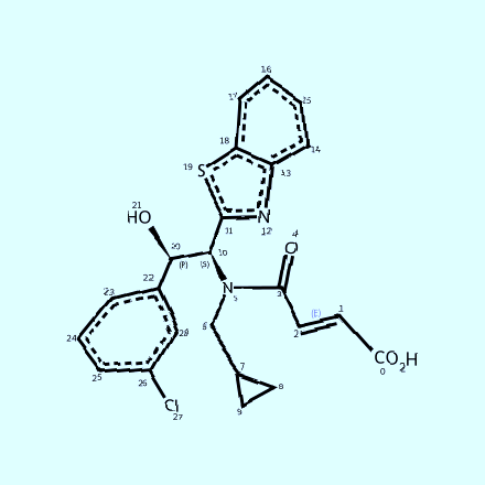 O=C(O)/C=C/C(=O)N(CC1CC1)[C@H](c1nc2ccccc2s1)[C@H](O)c1cccc(Cl)c1